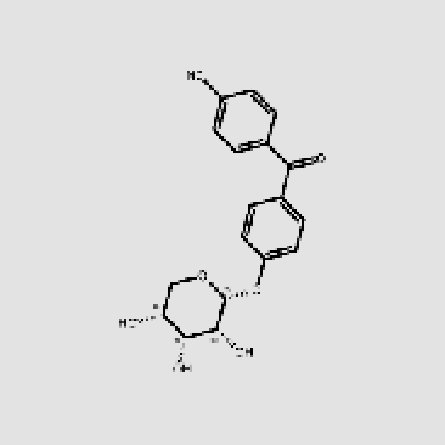 N#Cc1ccc(C(=O)c2ccc(O[C@H]3OC[C@@H](O)[C@@H](O)[C@H]3O)cc2)cc1